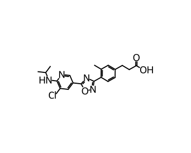 Cc1cc(CCC(=O)O)ccc1-c1noc(-c2cnc(NC(C)C)c(Cl)c2)n1